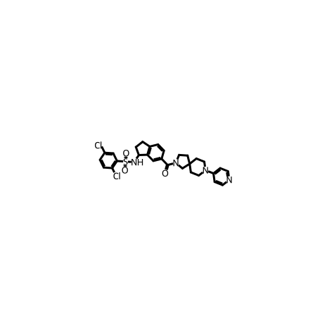 O=C(c1ccc2c(c1)C(NS(=O)(=O)c1cc(Cl)ccc1Cl)CC2)N1CCC2(CCN(c3ccncc3)CC2)C1